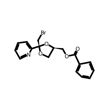 O=C(OC[C@H]1CO[C@](CBr)(c2ccccn2)O1)c1ccccc1